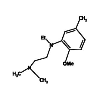 CCN(CCN(C)C)c1cc(C)ccc1OC